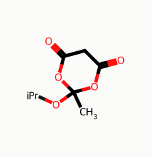 CC(C)OC1(C)OC(=O)CC(=O)O1